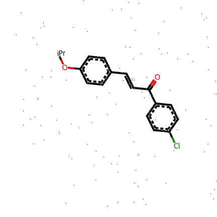 CC(C)Oc1ccc(/C=C/C(=O)c2ccc(Cl)cc2)cc1